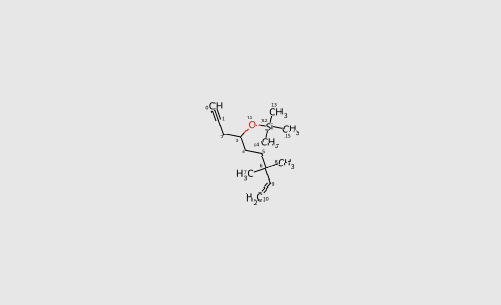 C#CCC(CCC(C)(C)C=C)O[Si](C)(C)C